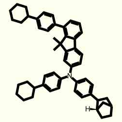 CC1(C)c2cc(N(c3ccc(C4CCCCC4)cc3)c3ccc(C4CC5CC[C@H]4C5)cc3)ccc2-c2cccc(-c3ccc(C4CCCCC4)cc3)c21